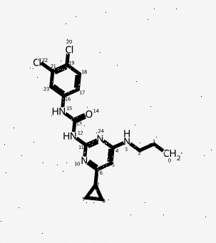 [CH2]CCNc1cc(C2CC2)nc(NC(=O)Nc2ccc(Cl)c(Cl)c2)n1